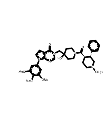 COc1cc(-n2ccc3c(=O)n(CC4(O)CCN(C(=O)[C@@H]5CCN(C(=O)O)C[C@H]5c5ccccc5)CC4)cnc32)cc(OC)c1OC